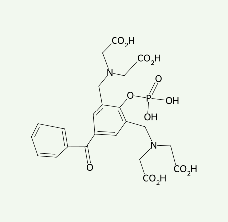 O=C(O)CN(CC(=O)O)Cc1cc(C(=O)c2ccccc2)cc(CN(CC(=O)O)CC(=O)O)c1OP(=O)(O)O